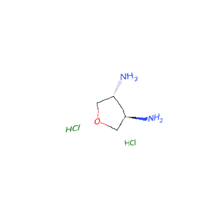 Cl.Cl.N[C@H]1COC[C@@H]1N